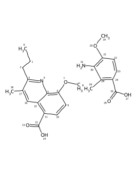 CCCc1nc2c(OC)ccc(C(=O)O)c2cc1C.COc1ccc(C(=O)O)c(C)c1N